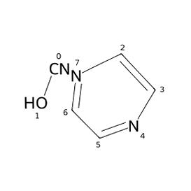 N#CO.c1cnccn1